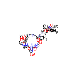 CC[C@H]1C[C@H](C)[C@@]2(NC1=O)O[C@@H](C[C@H](O)[C@@H](C)CC/C=C/C=C(\C)[C@@H]1C/C=C/C=C/C[C@H](C)[C@@H](O)[C@@H](CCC(C)=O)C(=O)N[C@@H](C(C)C)C(=O)N[C@@H](Cc3cccc(O)c3)C(=O)N3CCCC(N3)C(=O)O1)[C@H](C)C=C2C